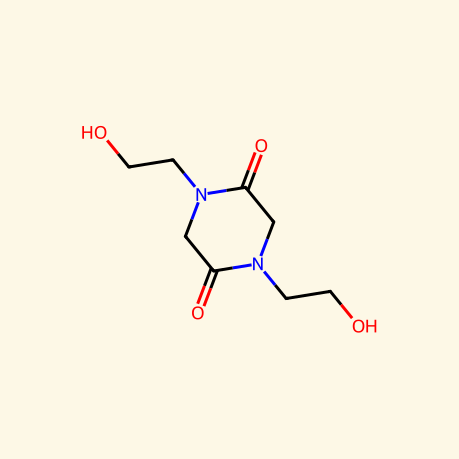 O=C1CN(CCO)C(=O)CN1CCO